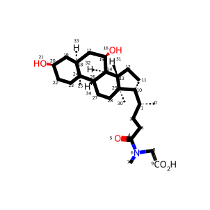 C[C@H](CCC(=O)N(C)CC(=O)O)[C@H]1CC[C@H]2[C@@H]3[C@H](O)C[C@@H]4C[C@H](O)CC[C@]4(C)[C@H]3CC[C@]12C